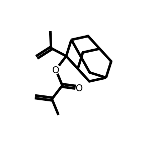 C=C(C)C(=O)OC1(C(=C)C)C2CC3CC(C2)CC1C3